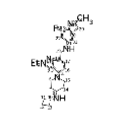 CCn1cc2c(N3CCC(NC4CCC4)CC3)ccc(CNc3cc(F)c4nc(C)cn4c3)c2n1